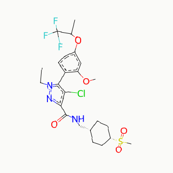 CCn1nc(C(=O)NC[C@H]2CC[C@@H](S(C)(=O)=O)CC2)c(Cl)c1-c1ccc(OC(C)C(F)(F)F)cc1OC